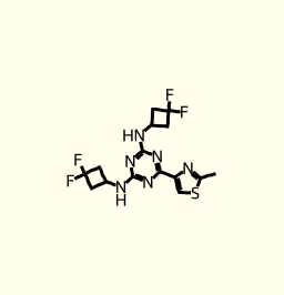 Cc1nc(-c2nc(NC3CC(F)(F)C3)nc(NC3CC(F)(F)C3)n2)cs1